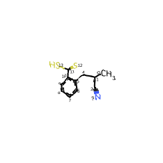 CC(C#N)Cc1ccccc1C(=S)S